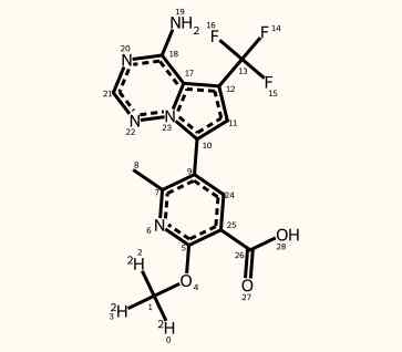 [2H]C([2H])([2H])Oc1nc(C)c(-c2cc(C(F)(F)F)c3c(N)ncnn23)cc1C(=O)O